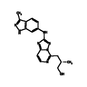 Cc1n[nH]c2cc(Nc3nc4ccnc(C[C@H](C)CO)n4n3)ccc12